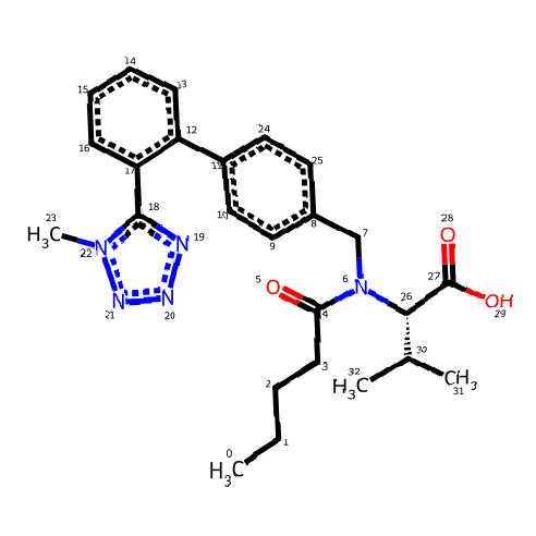 CCCCC(=O)N(Cc1ccc(-c2ccccc2-c2nnnn2C)cc1)[C@H](C(=O)O)C(C)C